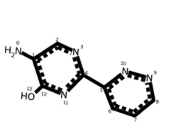 Nc1cnc(-c2cccnn2)nc1O